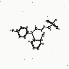 CS(=O)(=O)OCCOC(c1ccc(F)cc1)c1ccccc1Cl